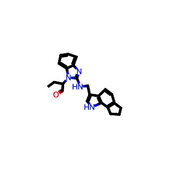 CCC(C=O)n1c(NCc2c[nH]c3c4c(ccc23)CCC4)nc2ccccc21